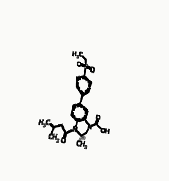 CCS(=O)(=O)c1ccc(-c2ccc3c(c2)N(C(=O)O)C[C@H](C)N3C(=O)CC(C)C)cc1